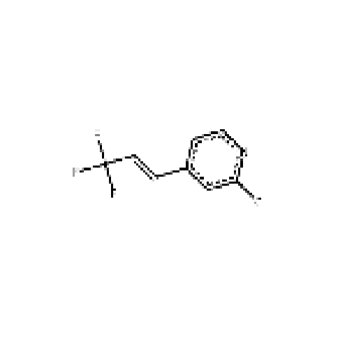 FC(F)(F)C=Cc1ccnc(Cl)c1